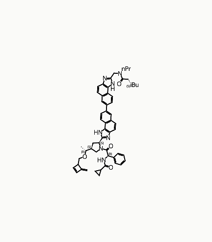 C=C1C=CC1CO[C@H](C)[C@H]1C[C@@H](c2nc3ccc4cc(-c5ccc6c(ccc7nc(CN(CCC)C(=O)C[C@@H](C)CC)[nH]c76)c5)ccc4c3[nH]2)N(C(=O)[C@H](NC(=O)C2CC2)c2ccccc2)C1